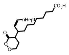 CCCCCCC/C=C\C(CCCCCCCC(=O)O)C1CCOOC1=O